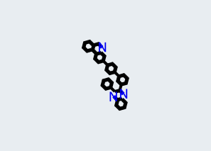 c1ccc(-c2nc3ccccc3nc2-c2cccc(-c3ccc(-c4ccc5c(c4)ncc4ccccc45)cc3)c2)cc1